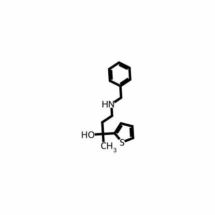 CC(O)(CCNCc1ccccc1)c1cccs1